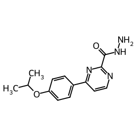 CC(C)Oc1ccc(-c2ccnc(C(=O)NN)n2)cc1